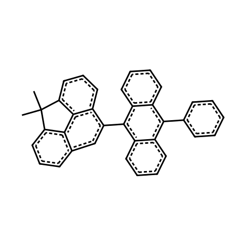 CC1(C)c2cccc3cc(-c4c5ccccc5c(-c5ccccc5)c5ccccc45)c4cccc1c4c23